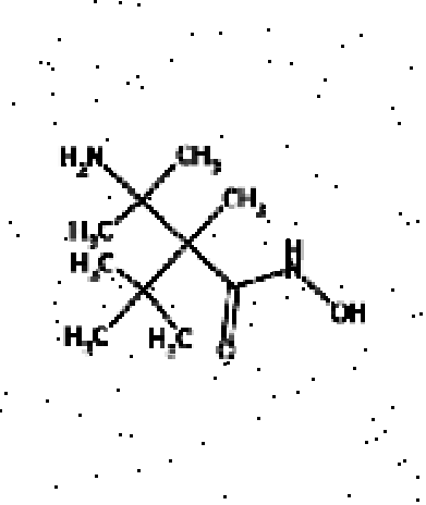 CC(C)(C)C(C)(C(=O)NO)C(C)(C)N